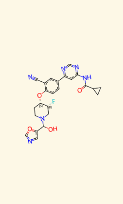 N#Cc1cc(-c2cc(NC(=O)C3CC3)ncn2)ccc1O[C@H]1CCN(C(O)c2cnco2)C[C@H]1F